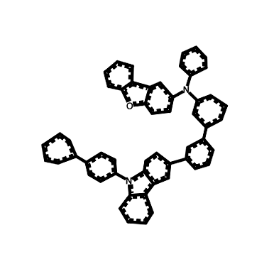 c1ccc(-c2ccc(-n3c4ccccc4c4cc(-c5cccc(-c6cccc(N(c7ccccc7)c7ccc8oc9ccccc9c8c7)c6)c5)ccc43)cc2)cc1